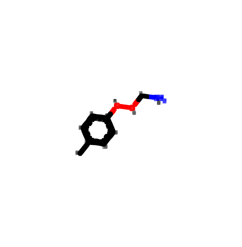 Cc1ccc(OOCN)cc1